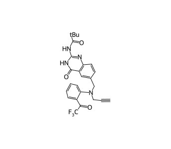 C#CCN(Cc1ccc2nc(NC(=O)C(C)(C)C)[nH]c(=O)c2c1)c1ccccc1C(=O)C(F)(F)F